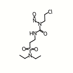 CCN(CC)S(=O)(=O)CCNC(=O)N(CCCl)N=O